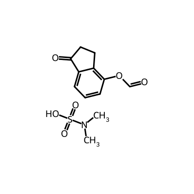 CN(C)S(=O)(=O)O.O=COc1cccc2c1CCC2=O